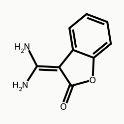 NC(N)=C1C(=O)Oc2ccccc21